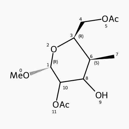 CO[C@@H]1O[C@@H](COC(C)=O)[C@@H](C)C(O)C1OC(C)=O